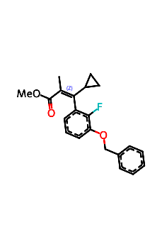 COC(=O)/C(C)=C(\c1cccc(OCc2ccccc2)c1F)C1CC1